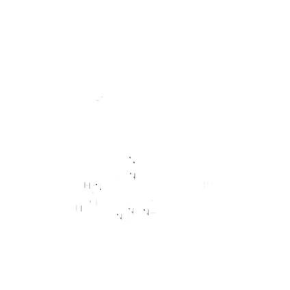 Cl.Cl.NCC(N)(c1cc(-c2ccc(Br)cc2)[nH]n1)c1cc(-c2ccc(Br)cc2)[nH]n1